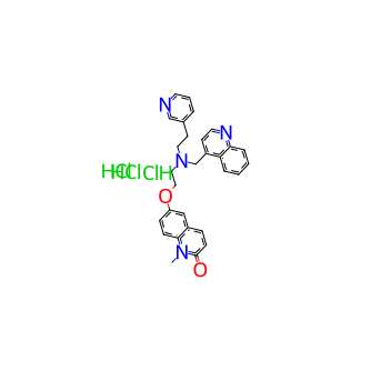 Cl.Cl.Cl.Cn1c(=O)ccc2cc(OCCN(CCc3cccnc3)Cc3ccnc4ccccc34)ccc21